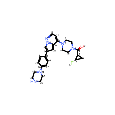 O=C([C@H]1C[C@@H]1F)N1CCN(c2ccnn3cc(-c4ccc(N5CCNCC5)cc4)cc23)CC1